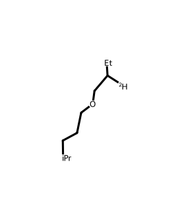 [2H]C(CC)COCCCC(C)C